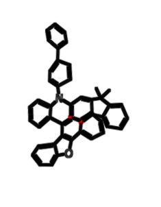 CC1(C)c2ccccc2-c2ccc(N(c3ccc(-c4ccccc4)cc3)c3ccccc3-c3cc4ccccc4c4oc5ccccc5c34)cc21